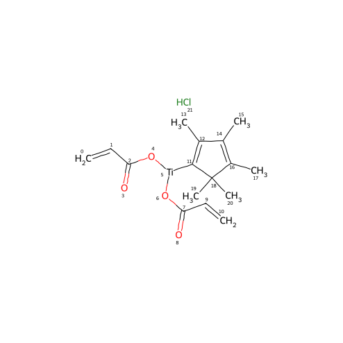 C=CC(=O)[O][Ti]([O]C(=O)C=C)[C]1=C(C)C(C)=C(C)C1(C)C.Cl